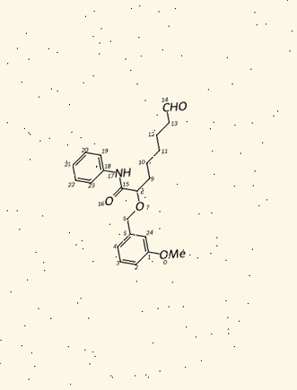 COc1cccc(COC(CCCCCC=O)C(=O)Nc2ccccc2)c1